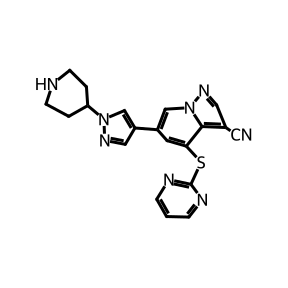 N#Cc1cnn2cc(-c3cnn(C4CCNCC4)c3)cc(Sc3ncccn3)c12